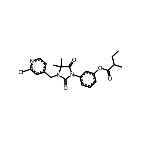 CCC(C)C(=O)Oc1cccc(N2C(=O)N(Cc3ccnc(Cl)c3)C(C)(C)C2=O)c1